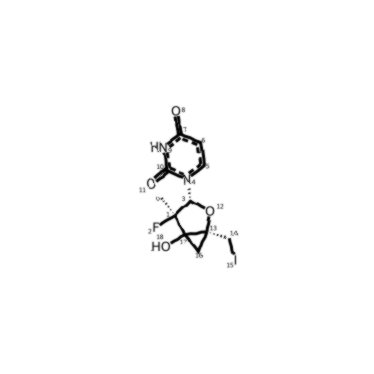 C[C@]1(F)[C@H](n2ccc(=O)[nH]c2=O)O[C@@]2(CI)CC21O